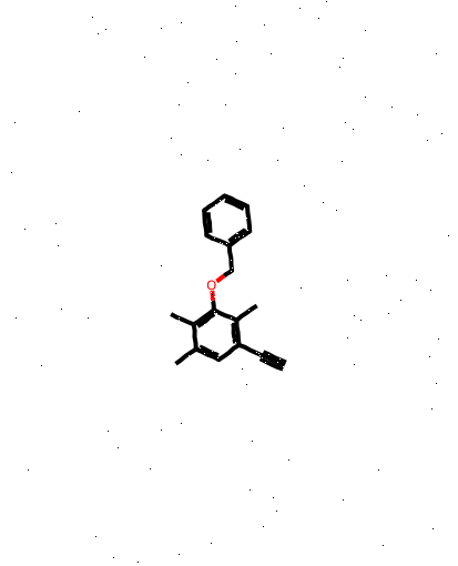 C#Cc1cc(C)c(C)c(OCc2ccccc2)c1C